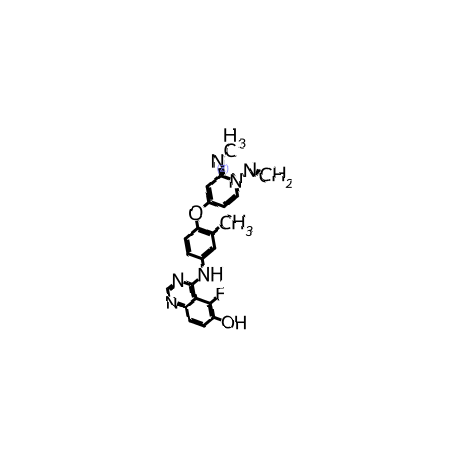 C=Nn1ccc(Oc2ccc(Nc3ncnc4ccc(O)c(F)c34)cc2C)c/c1=N/C